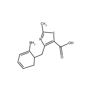 BC1=CC=CCC1Cc1nc(C)sc1C(=O)O